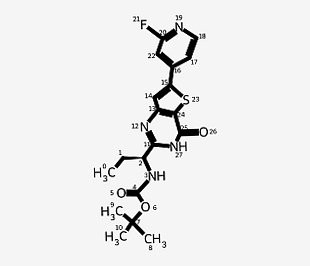 CC[C@H](NC(=O)OC(C)(C)C)c1nc2cc(-c3ccnc(F)c3)sc2c(=O)[nH]1